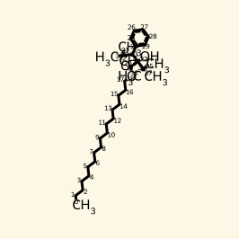 CCCCCCCCCCCCCCCCCCOC(=O)C(O)(C(c1ccccc1)C(C)(C)C)C(C)(C)C